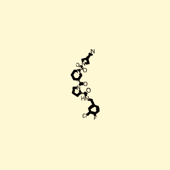 N#CC1CN(S(=O)(=O)N2CCC[C@H](C(=O)N3CCC[C@@H]3C(=O)NCc3ccc(F)c(Cl)c3)C2)C1